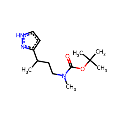 CC(CCN(C)C(=O)OC(C)(C)C)c1cc[nH]n1